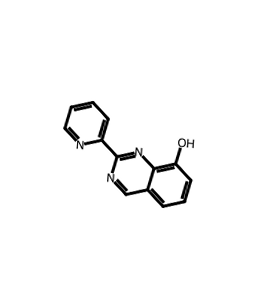 Oc1cccc2cnc(-c3ccccn3)nc12